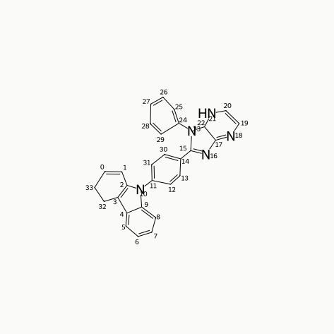 C1=Cc2c(c3ccccc3n2-c2ccc(C3=NC4=NC=CNC4N3c3ccccc3)cc2)CC1